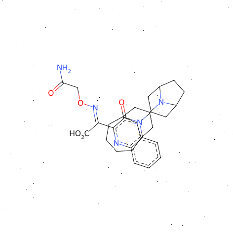 NC(=O)CO/N=C(\C(=O)O)c1nc2ccccc2n(C2CC3CCC(C2)N3C2CC3CCCCC(C3)C2)c1=O